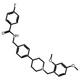 COc1ccc(CN2CCC(c3ccc(CNC(=O)c4ccc(F)cc4)cc3)CC2)c(OC)c1